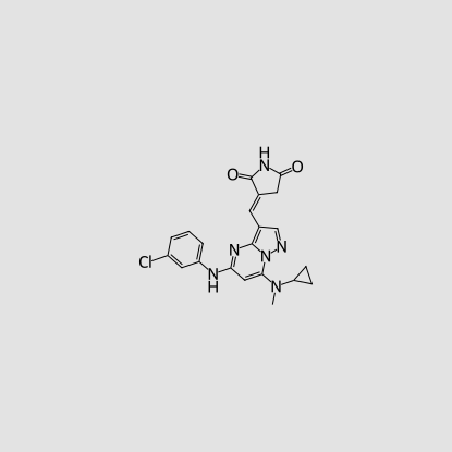 CN(c1cc(Nc2cccc(Cl)c2)nc2c(/C=C3\CC(=O)NC3=O)cnn12)C1CC1